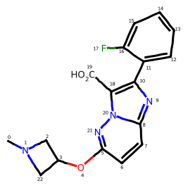 CN1CC(Oc2ccc3nc(-c4ccccc4F)c(C(=O)O)n3n2)C1